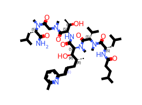 Cc1cccc(/C=C/C[C@@H](C)[C@@H](O)[C@@H](C(=O)N[C@H](C(=O)N(C)CC(=O)N(C)[C@@H](CC(C)C)C(N)=O)[C@@H](C)O)N(C)C(=O)[C@H](C(C)C)N(C)C(=O)[C@H](CC(C)C)NC(=O)CCC(C)C)n1